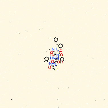 Cc1ccccc1CNC(=O)[C@H]1N(C(=O)[C@@H](O)[C@H](Cc2ccccc2)NC(=O)[C@H](CC(N)=O)NC(=O)COc2cccc(Cc3ccccc3)c2)CSC1(C)C